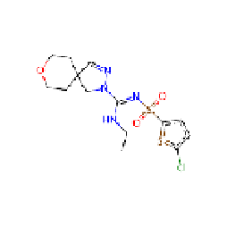 CCN/C(=N\S(=O)(=O)c1ccc(Cl)s1)N1CC2(C=N1)CCOCC2